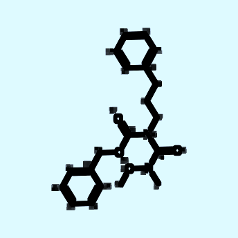 CON(C)C(=O)N(CCCc1ccccc1)C(=O)OCc1ccccc1